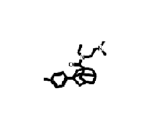 CCN(CCN(C)C)C(=O)C12CC3CC(C1)CC(c1ccc(C)cc1)(C3)C2